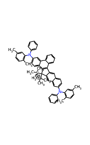 Cc1ccc(C)c(N(c2ccccc2)c2ccc3cc4c(cc3c2)C([Si](C)(C)C)([Si](C)(C)C)c2c-4c3ccccc3c3cc(N(c4ccccc4)c4cc(C)ccc4C)ccc23)c1